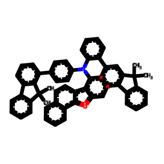 CC1(C)c2ccccc2-c2ccc(-c3ccccc3N(c3ccc(-c4cccc5c4C(C)(C)c4ccccc4-5)cc3)c3cccc4oc5c6ccccc6ccc5c34)cc21